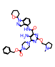 CN1CCCC1COc1nc(C(=O)Nc2cccc3c2cnn3C2CCCCO2)c(N)c(N2CCN(C(=O)OCc3ccccc3)CC2)n1